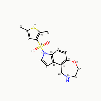 Cc1cc(S(=O)(=O)n2ccc3c4c(ccc32)OCCNC4)c(C)s1